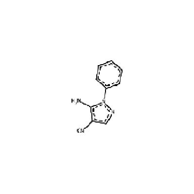 [C-]#[N+]c1cnn(-c2ccccc2)c1N